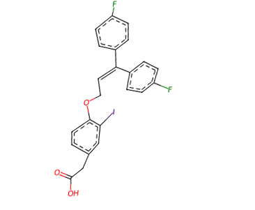 O=C(O)Cc1ccc(OCC=C(c2ccc(F)cc2)c2ccc(F)cc2)c(I)c1